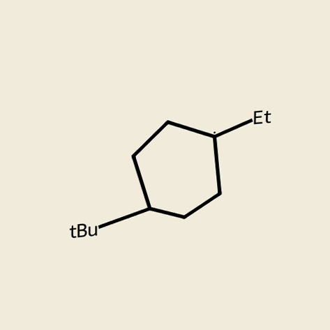 CC[C]1CCC(C(C)(C)C)CC1